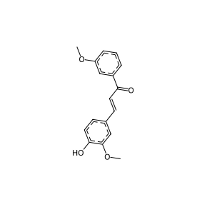 COc1cccc(C(=O)C=Cc2ccc(O)c(OC)c2)c1